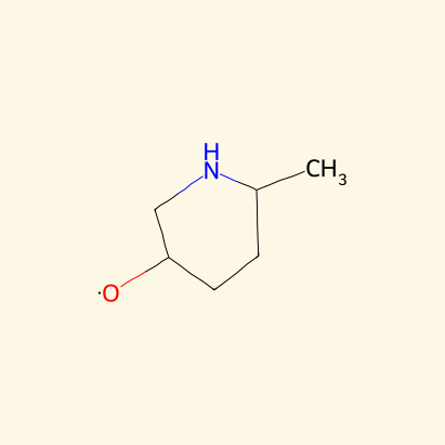 CC1CCC([O])CN1